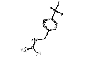 CN(O)NCc1ccc(C(F)(F)F)cc1